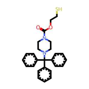 O=C(OCCS)N1CCN(C(c2ccccc2)(c2ccccc2)c2ccccc2)CC1